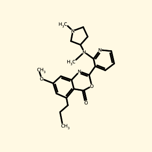 CCCc1cc(OC)cc2nc(-c3cccnc3N(C)C3CCN(C)C3)oc(=O)c12